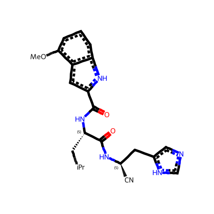 COc1cccc2[nH]c(C(=O)N[C@@H](CC(C)C)C(=O)N[C@H](C#N)Cc3cnc[nH]3)cc12